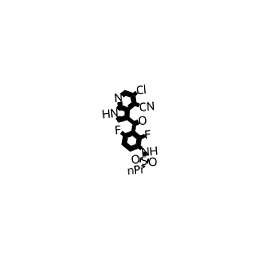 CCCS(=O)(=O)Nc1ccc(F)c(C(=O)c2c[nH]c3ncc(Cl)c(C#N)c23)c1F